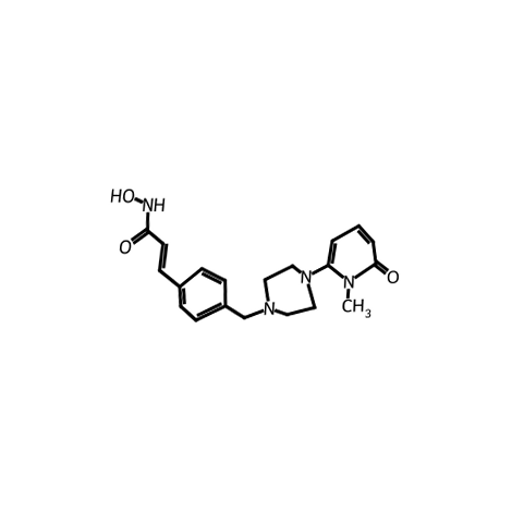 Cn1c(N2CCN(Cc3ccc(C=CC(=O)NO)cc3)CC2)cccc1=O